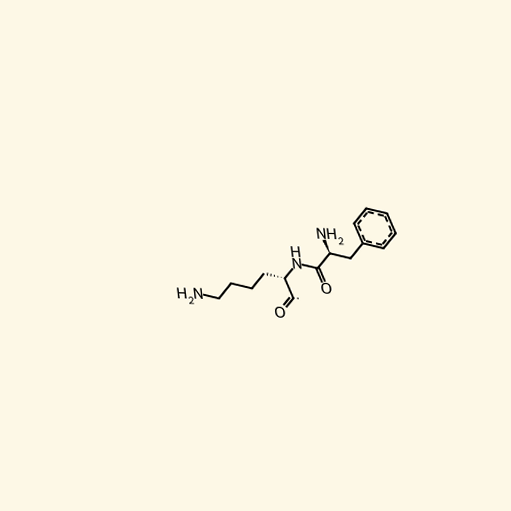 NCCCC[C@@H]([C]=O)NC(=O)[C@@H](N)Cc1ccccc1